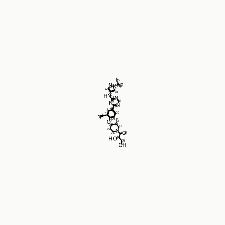 N#Cc1cc(-c2ncnc(Nc3cnn(C(F)F)c3)n2)ccc1O[C@H]1CCN(C(=O)[C@@H](O)CO)C[C@@H]1F